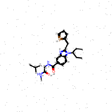 CCC(CC)n1c(Cc2cccs2)nc2cc(C(=O)N[C@@H](CC(C)C)C(=O)NC)ccc21